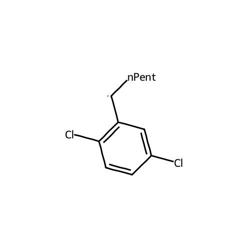 CCCCC[CH]c1cc(Cl)ccc1Cl